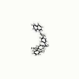 O=C(c1ccc(NSc2cccc3cccnc23)cc1)N1CCC(O)(c2ccccc2Cl)CC1